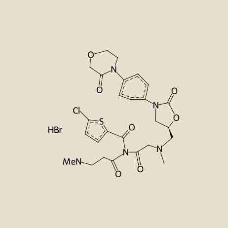 Br.CNCCC(=O)N(C(=O)CN(C)C[C@H]1CN(c2ccc(N3CCOCC3=O)cc2)C(=O)O1)C(=O)c1ccc(Cl)s1